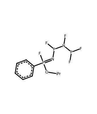 CC(C)OP(F)(=NP(F)N(F)P(F)F)c1ccccc1